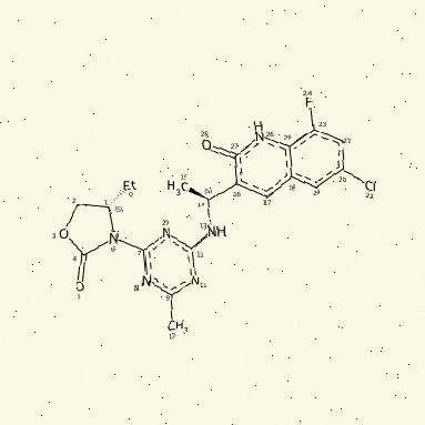 CC[C@H]1COC(=O)N1c1nc(C)nc(N[C@@H](C)c2cc3cc(Cl)cc(F)c3[nH]c2=O)n1